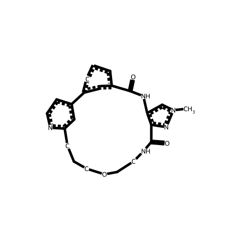 Cn1cc2c(n1)C(=O)NCCOCCCc1cc(ccn1)-c1cccc(c1)C(=O)N2